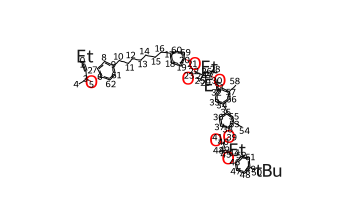 CCC#CC(C)Oc1ccc(CCCCCCCc2ccc(OC(=O)C(C)(CC)C(C)(CC)Oc3ccc(-c4ccc(OC(=O)C(C)(CC)Oc5ccc(C(C)(C)C)cc5)c(C)c4)cc3C)cc2)cc1